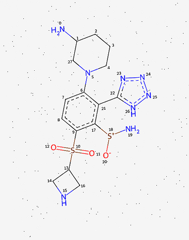 NC1CCCN(c2ccc(S(=O)(=O)C3CNC3)c([S+](N)[O-])c2-c2nnn[nH]2)C1